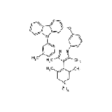 CC1=C[C@H](C)CC(C)=C1c1c(C)nn(-c2cccc(Oc3ccc4c5ccccc5n(-c5cc(C)ccn5)c4c3)c2)c1C